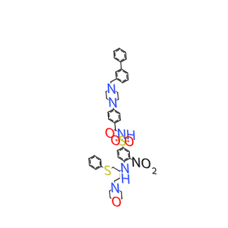 O=C(NS(=O)(=O)c1ccc(N[C@H](CCN2CCOCC2)CSc2ccccc2)c([N+](=O)[O-])c1)c1ccc(N2CCN(Cc3cccc(-c4ccccc4)c3)CC2)cc1